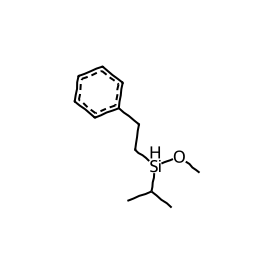 CO[SiH](CCc1ccccc1)C(C)C